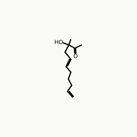 C=CCCC/C=C/CC(C)(O)C(C)=O